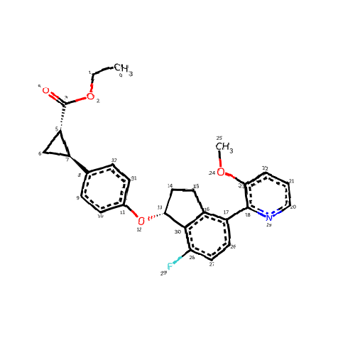 CCOC(=O)[C@H]1C[C@@H]1c1ccc(O[C@@H]2CCc3c(-c4ncccc4OC)ccc(F)c32)cc1